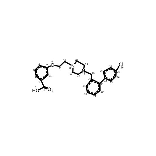 O=C(O)c1cccc(OCCN2CCN(Cc3ccccc3-c3ccc(Cl)cc3)CC2)c1